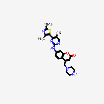 CNc1nc(C)c(-c2nc(Nc3ccc4c(CN5CCNCC5)cc(=O)oc4c3)ncc2C#N)s1